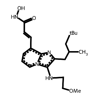 COCCNc1c(CC(C)CC(C)(C)C)nc2c(C=CC(=O)NO)cccn12